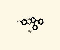 O=C(O)c1ccc(-c2ccccc2)c(-c2ccccc2)c1Oc1ccc(O)cc1.S